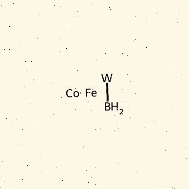 [BH2][W].[Co].[Fe]